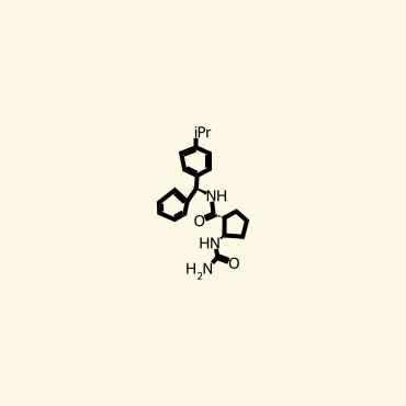 CC(C)c1ccc([C@@H](NC(=O)[C@@H]2CCC[C@@H]2NC(N)=O)c2ccccc2)cc1